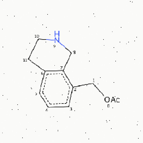 CC(=O)OCc1cccc2c1CNCC2